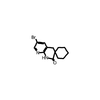 O=C1Nc2ncc(Br)cc2CC12CCCCC2